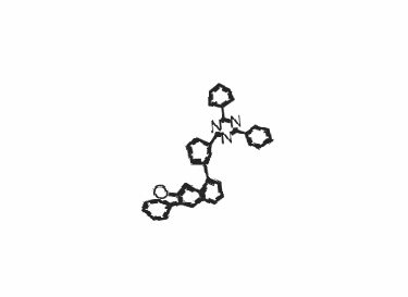 c1ccc(-c2nc(-c3ccccc3)nc(-c3cccc(-c4cccc5cc6c(cc45)oc4ccccc46)c3)n2)cc1